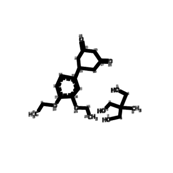 CC(CO)(CO)CO.CCOc1ccc(C2CC(=O)CC(=O)C2)cc1OCC